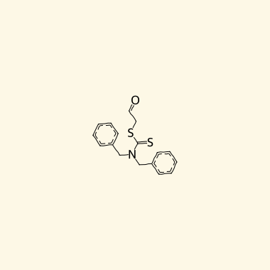 O=CCSC(=S)N(Cc1ccccc1)Cc1ccccc1